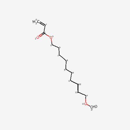 C=CC(=O)OCCCCCCCCCCOC=O